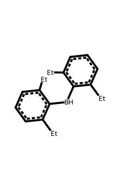 CCc1cccc(CC)c1Bc1c(CC)cccc1CC